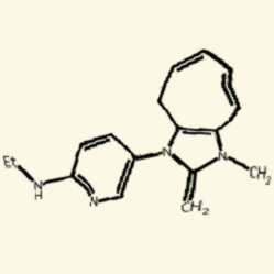 C=C1N(C)C2=C(CC=CC=C2)N1c1ccc(NCC)nc1